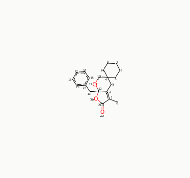 CC1=C2CC3(CCCCC3)CO[C@@]2(Cc2ccccc2)OC1=O